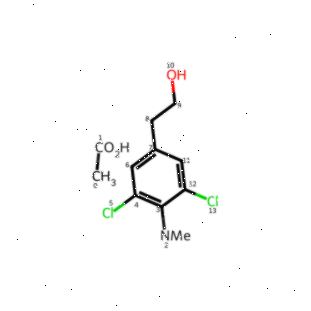 CC(=O)O.CNc1c(Cl)cc(CCO)cc1Cl